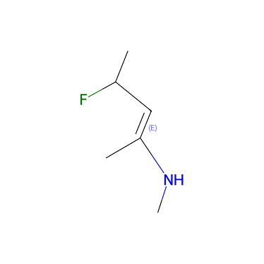 CN/C(C)=C/C(C)F